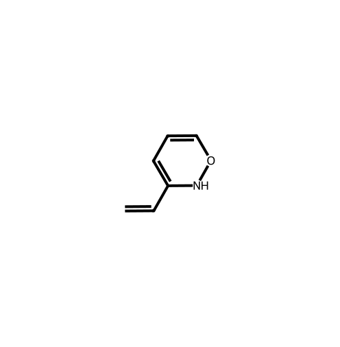 C=CC1=CC=CON1